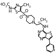 Cc1nc(NC(=O)O)sc1S(=O)(=O)N1CCN(C[C@H](C)Nc2ncnc3c(-c4cccnc4)csc23)CC1